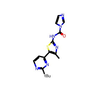 Cc1nc(NC(=O)n2ccnc2)sc1-c1ccnc(C(C)(C)C)n1